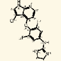 Fc1cc(NC2=NCCN2)cc(F)c1Oc1ccnc2[nH]cc(Cl)c12